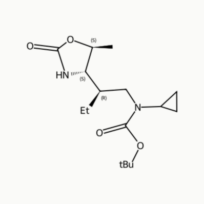 CC[C@H](CN(C(=O)OC(C)(C)C)C1CC1)[C@@H]1NC(=O)O[C@H]1C